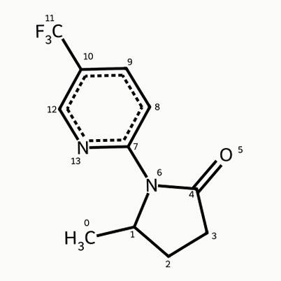 CC1CCC(=O)N1c1ccc(C(F)(F)F)cn1